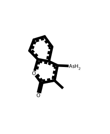 Cc1c([AsH2])c2ccccc2oc1=O